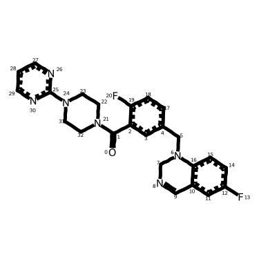 O=C(c1cc(CN2CN=Cc3cc(F)ccc32)ccc1F)N1CCN(c2ncccn2)CC1